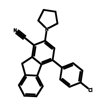 N#Cc1c(N2CCCC2)cc(-c2ccc(Cl)cc2)c2c1Cc1ccccc1-2